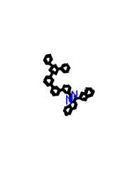 c1ccc(-c2cc(-c3ccccc3)cc(-c3cccc(-c4cccc(-c5cccc(-c6nc(-c7ccc8ccccc8c7)c7ccc8ccccc8c7n6)c5)c4)c3)c2)cc1